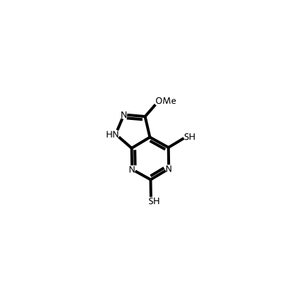 COc1n[nH]c2nc(S)nc(S)c12